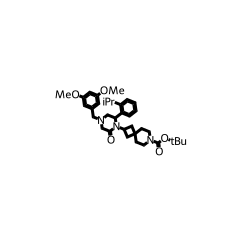 COc1cc(CN2CC(=O)N(C3CC4(CCN(C(=O)OC(C)(C)C)CC4)C3)C(c3ccccc3C(C)C)C2)cc(OC)c1